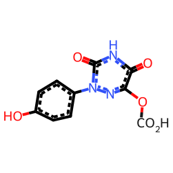 O=C(O)Oc1nn(-c2ccc(O)cc2)c(=O)[nH]c1=O